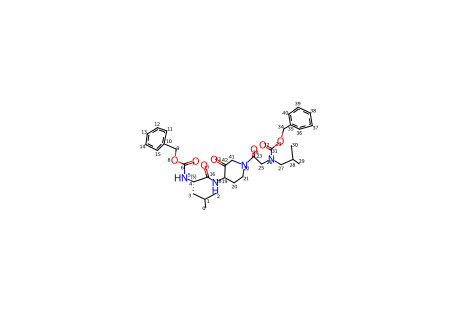 CC(C)C[C@H](NC(=O)OCc1ccccc1)C(=O)NC1CCN(C(=O)CN(CC(C)C)C(=O)OCc2ccccc2)CC1=O